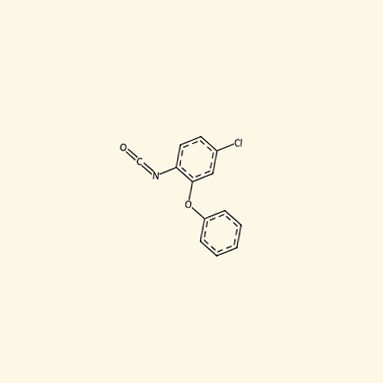 O=C=Nc1ccc(Cl)cc1Oc1ccccc1